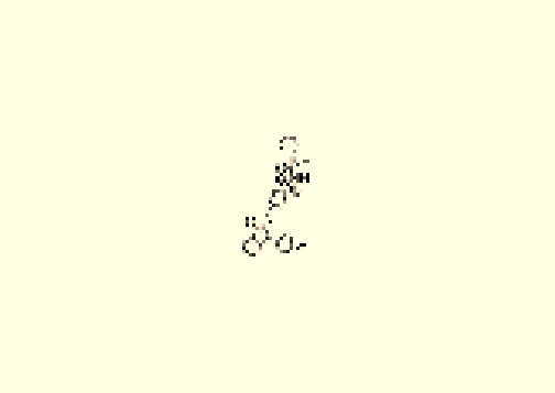 O=C(NC1CCCCC1)NS(=O)(=O)c1ccc(CCN2C(=O)c3ccccc3C2c2ccc(F)cc2)cc1